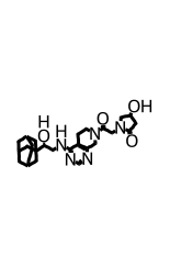 O=C(CN1CC(O)CC1=O)N1CCc2c(ncnc2NC[C@H](O)C23CC4CC(CC(C4)C2)C3)C1